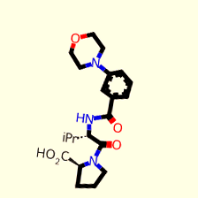 CC(C)[C@H](NC(=O)c1cccc(N2CCOCC2)c1)C(=O)N1CCC[C@H]1C(=O)O